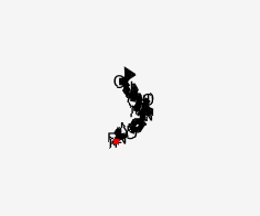 O=C(C1CC1)N1CCC(O)(Cn2cnc3c(cnn3-c3ccc(Oc4nccc(C(F)(F)F)n4)cc3)c2=O)CC1